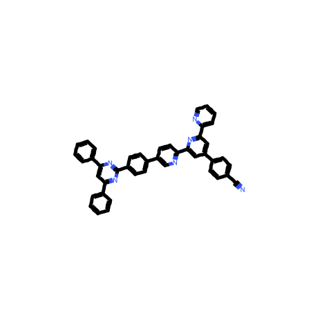 N#Cc1ccc(-c2cc(-c3ccccn3)nc(-c3ccc(-c4ccc(-c5nc(-c6ccccc6)cc(-c6ccccc6)n5)cc4)cn3)c2)cc1